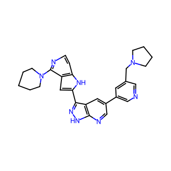 c1cc2[nH]c(-c3n[nH]c4ncc(-c5cncc(CN6CCCC6)c5)cc34)cc2c(N2CCCCC2)n1